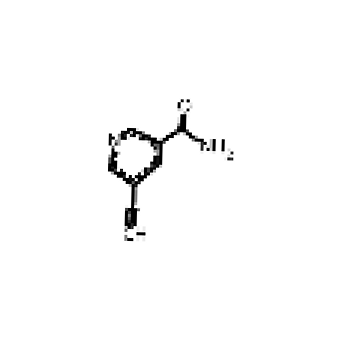 C#Cc1cncc(C(N)=O)c1